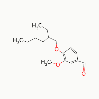 CCCCC(CC)COc1ccc(C=O)cc1OC